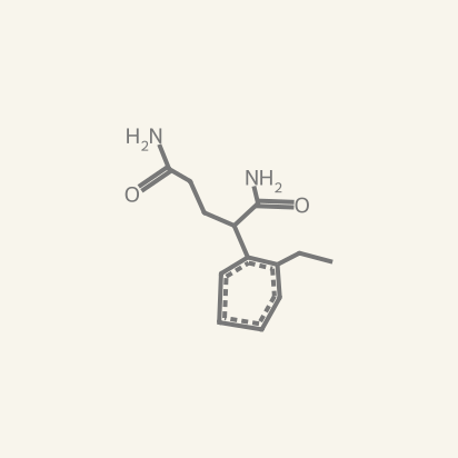 CCc1ccccc1C(CCC(N)=O)C(N)=O